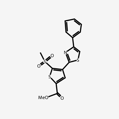 COC(=O)c1cc(-c2nc(-c3ccccc3)cs2)c(S(C)(=O)=O)s1